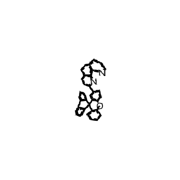 c1ccc2c(c1)Oc1ccc(-c3ccc4ccc5cccnc5c4n3)cc1C21c2ccccc2-c2ccccc21